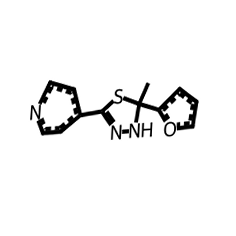 CC1(c2ccco2)NN=C(c2ccncc2)S1